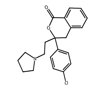 O=C1OC(CCN2CCCC2)(c2ccc(Cl)cc2)Cc2ccccc21